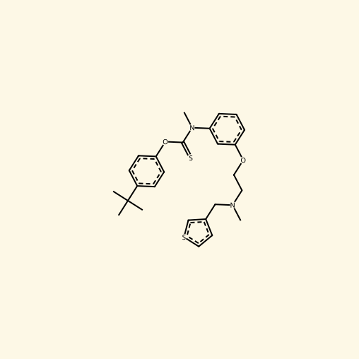 CN(CCOc1cccc(N(C)C(=S)Oc2ccc(C(C)(C)C)cc2)c1)Cc1ccsc1